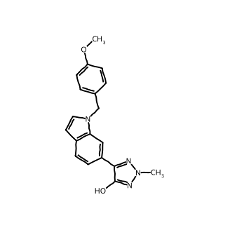 COc1ccc(Cn2ccc3ccc(-c4nn(C)nc4O)cc32)cc1